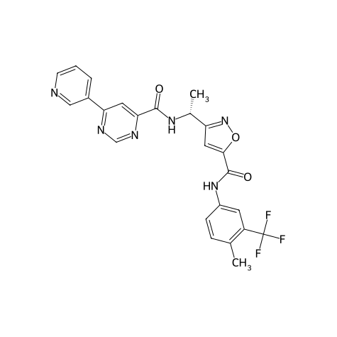 Cc1ccc(NC(=O)c2cc([C@@H](C)NC(=O)c3cc(-c4cccnc4)ncn3)no2)cc1C(F)(F)F